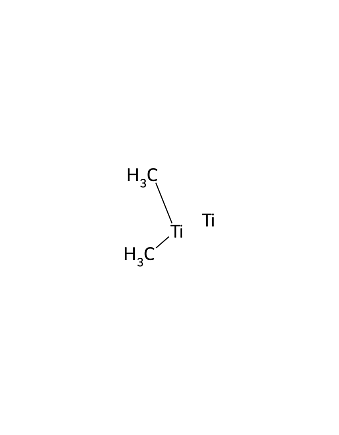 [CH3][Ti][CH3].[Ti]